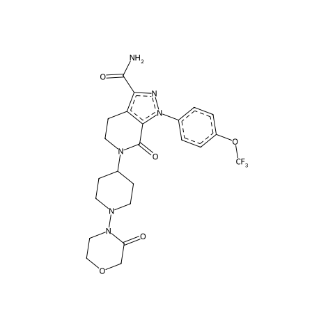 NC(=O)c1nn(-c2ccc(OC(F)(F)F)cc2)c2c1CCN(C1CCN(N3CCOCC3=O)CC1)C2=O